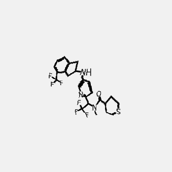 CN(C(=O)C1CCSCC1)C(c1ccc(NC2Cc3cccc(C(F)(F)F)c3C2)cn1)C(F)(F)F